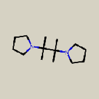 CC(C)(N1CCCC1)C(C)(C)N1CCCC1